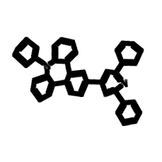 c1ccc(-c2cc(-c3ccc4c(c3)-c3ccccc3N(c3ccccc3)c3ccccc3-4)cc(-c3ccccc3)n2)cc1